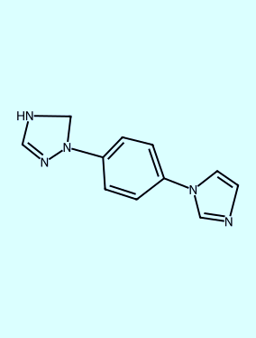 C1=NN(c2ccc(-n3ccnc3)cc2)CN1